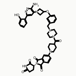 Nc1nnc(-c2ccccc2O)cc1N1CC(Oc2cccc(CN3CCN(C(=O)C4CCN(c5ccc6c(c5)C(=O)N([C@@H]5CCC(=O)NC5=O)C6=O)CC4)CC3)c2)C1